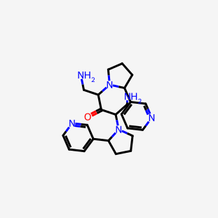 NCC(C(=O)C(CN)N1CCCC1c1cccnc1)N1CCCC1c1cccnc1